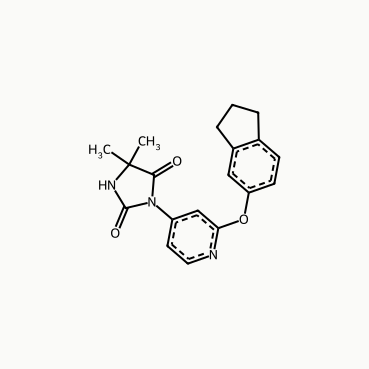 CC1(C)NC(=O)N(c2ccnc(Oc3ccc4c(c3)CCC4)c2)C1=O